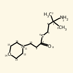 CC(C)(N)CCSC(=O)CCN1CCOCC1